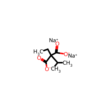 CCC(C(=O)[O-])(C(=O)[O-])C(C)C.[Na+].[Na+]